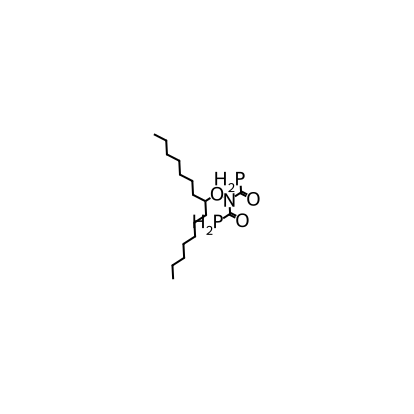 CCCCCCCC(CCCCCCC)ON(C(=O)P)C(=O)P